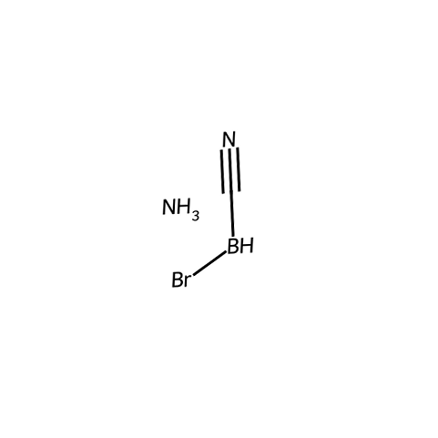 N.N#CBBr